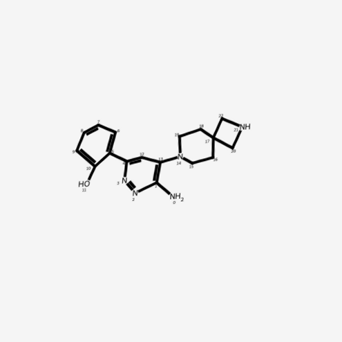 Nc1nnc(-c2ccccc2O)cc1N1CCC2(CC1)CNC2